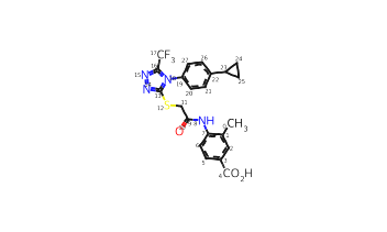 Cc1cc(C(=O)O)ccc1NC(=O)CSc1nnc(C(F)(F)F)n1-c1ccc(C2CC2)cc1